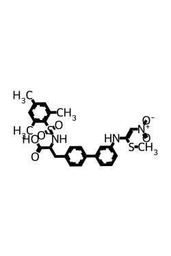 CSC(=C[N+](=O)[O-])Nc1cccc(-c2ccc(CC(NS(=O)(=O)c3c(C)cc(C)cc3C)C(=O)O)cc2)c1